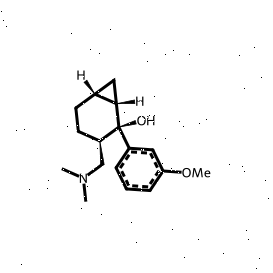 COc1cccc([C@]2(O)[C@@H](CN(C)C)CC[C@@H]3C[C@@H]32)c1